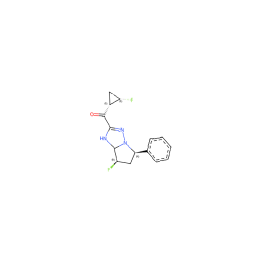 O=C(C1=NN2C(N1)[C@H](F)C[C@@H]2c1ccccc1)[C@@H]1C[C@@H]1F